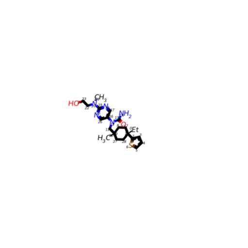 CC[C@]1(c2cccs2)CC[C@@](C)(CN(C(N)=O)c2cnc(N(C)CCO)nc2)CC1